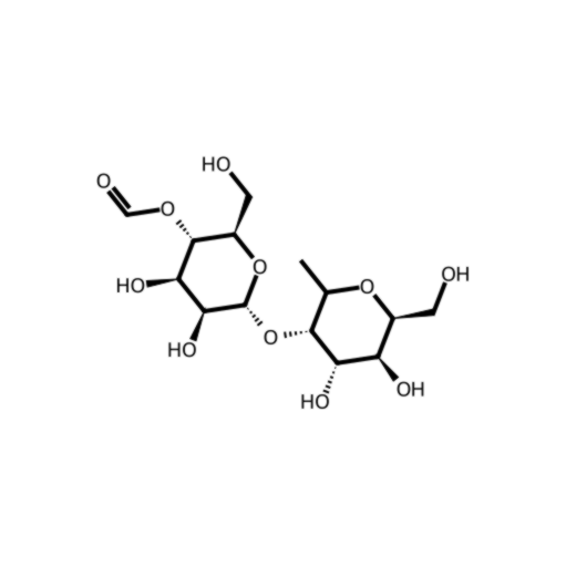 CC1O[C@@H](CO)[C@@H](O)[C@H](O)[C@@H]1O[C@H]1O[C@H](CO)[C@@H](OC=O)[C@H](O)[C@@H]1O